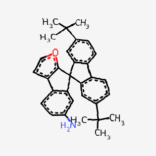 CC(C)(C)c1ccc2c(c1)C1(c3cc(C(C)(C)C)ccc3-2)c2cc(N)ccc2-c2ccoc21